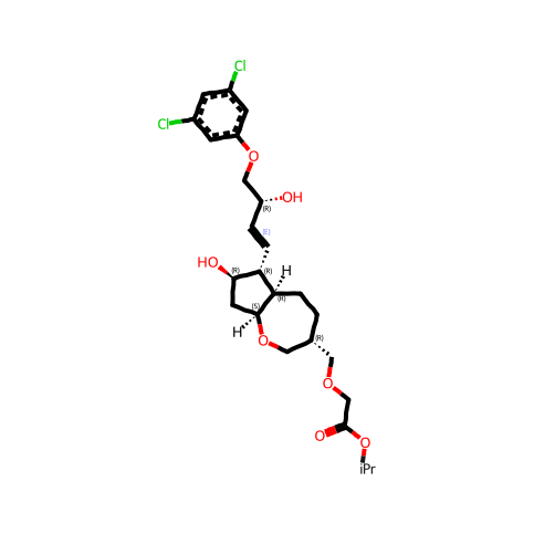 CC(C)OC(=O)COC[C@H]1CC[C@@H]2[C@@H](/C=C/[C@@H](O)COc3cc(Cl)cc(Cl)c3)[C@H](O)C[C@@H]2OC1